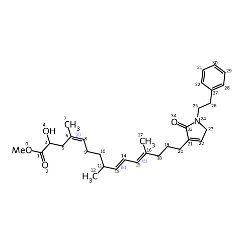 COC(=O)C(O)C/C(C)=C\CCC(C)/C=C/C=C(\C)CCCC1=CCN(CCc2ccccc2)C1=O